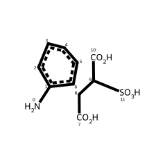 Nc1ccccc1.O=C(O)CC(C(=O)O)S(=O)(=O)O